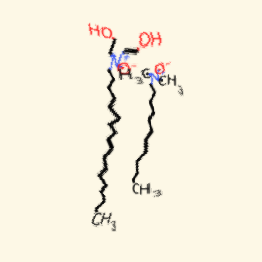 CCCCCCCCC=CCCCCCCCC[N+]([O-])(CCO)CCO.CCCCCCCCCCCC[N+](C)(C)[O-]